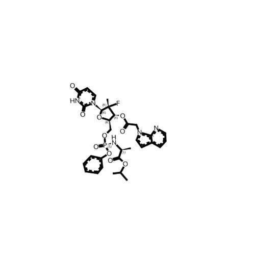 CC(C)OC(=O)[C@H](C)N[P@](=O)(OC[C@H]1O[C@@H](n2ccc(=O)[nH]c2=O)[C@](C)(F)[C@@H]1OC(=O)Cn1ccc2cccnc21)Oc1ccccc1